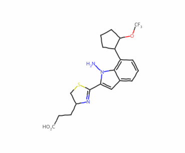 Nn1c(C2=NC(CCC(=O)O)CS2)cc2cccc(C3CCCC3OC(F)(F)F)c21